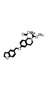 COC(=O)[C@H]1c2ccc(OCc3ccc4c(c3)CCO4)cc2CCN1C(=O)OC(C)(C)C